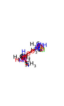 Cc1nc(Nc2ncc(C(=O)Nc3c(C)cccc3Cl)s2)cc(N2CCN(CCCCCCOCCCCCOCCCCCC(=O)N[C@H](C(=O)N3C[C@H](O)C[C@H]3C(=O)NCc3ccc(-c4scnc4C)cc3)C(C)(C)C)CC2)n1